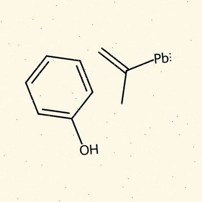 C=[C](C)[Pb].Oc1ccccc1